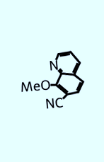 COc1c(C#N)ccc2cccnc12